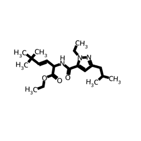 CCOC(=O)C(C=CC(C)(C)C)NC(=O)c1cc(CC(C)C)nn1CC